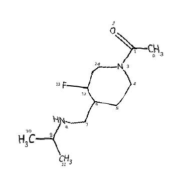 CC(=O)N1CCC(CNC(C)C)C(F)C1